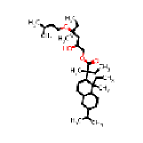 CCC(C)(C(=O)OCC(O)C[C@](C)(CC)OCCC(C)C)C1CCC2CC(C(C)C)CCC2C1(C)CC